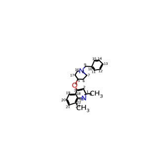 Cc1cc(OC2CCN(Cc3ccccc3)CC2)c2cccc(C)c2n1